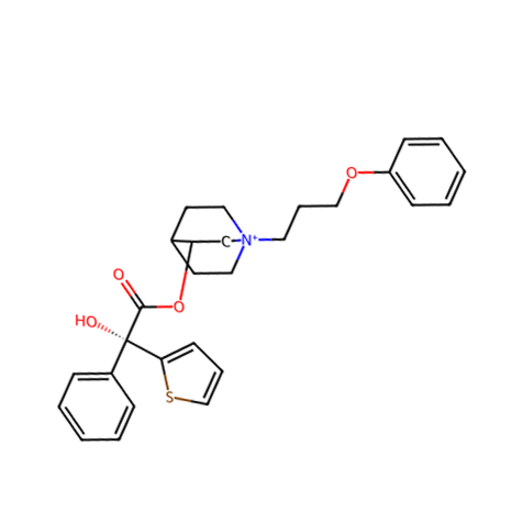 O=C(OC1C[N+]2(CCCOc3ccccc3)CCC1CC2)[C@](O)(c1ccccc1)c1cccs1